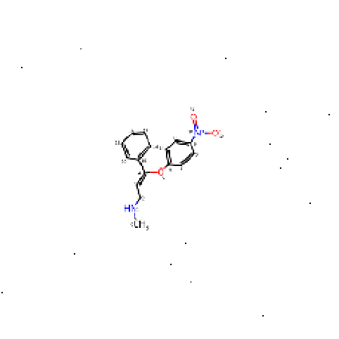 CNC/C=C(\Oc1ccc([N+](=O)[O-])cc1)c1ccccc1